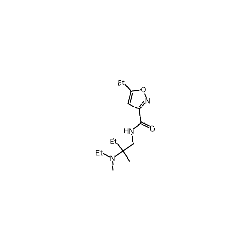 CCc1cc(C(=O)NCC(C)(CC)N(C)CC)no1